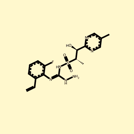 C=Cc1cccc(F)c1/N=C(/NN)NS(=O)(=O)[C@@H](C)[C@@H](O)c1ncc(C)cn1